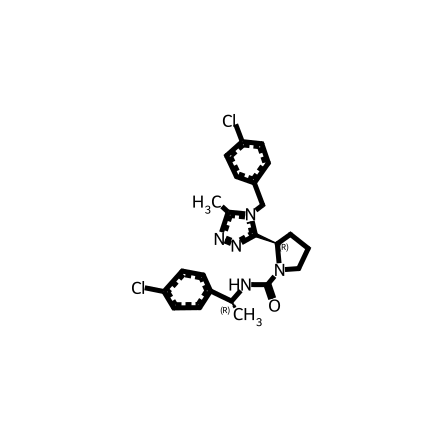 Cc1nnc([C@H]2CCCN2C(=O)N[C@H](C)c2ccc(Cl)cc2)n1Cc1ccc(Cl)cc1